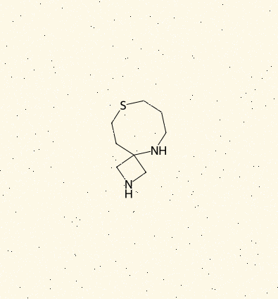 C1CNC2(CCSC1)CNC2